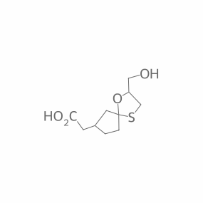 O=C(O)CC1CCC2(C1)OC(CO)CS2